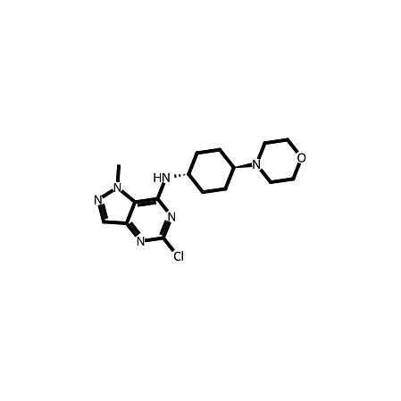 Cn1ncc2nc(Cl)nc(N[C@H]3CC[C@H](N4CCOCC4)CC3)c21